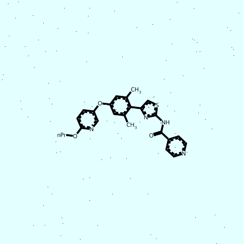 CCCOc1ccc(Oc2cc(C)c(-c3csc(NC(=O)c4ccncc4)n3)c(C)c2)cn1